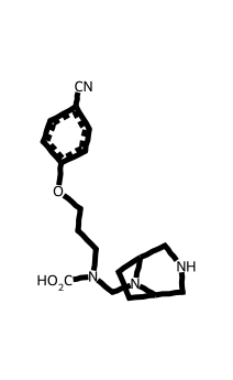 N#Cc1ccc(OCCCN(CN2C3CCC2CNC3)C(=O)O)cc1